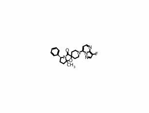 C[C@@]12CC[C@@H](c3ccccc3)N1C(=O)C1(CCN(c3ccnc4c(F)cnn34)CC1)O2